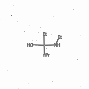 CCCC(O)(CC)NCC